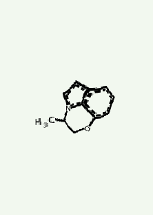 CC1COc2cccc3ccn1c23